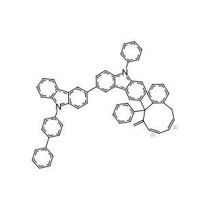 C=C1/C=C\C=C/Cc2ccccc2C1(c1ccccc1)c1ccc2c(c1)c1cc(-c3ccc4c(c3)c3ccccc3n4-c3ccc(-c4ccccc4)cc3)ccc1n2-c1ccccc1